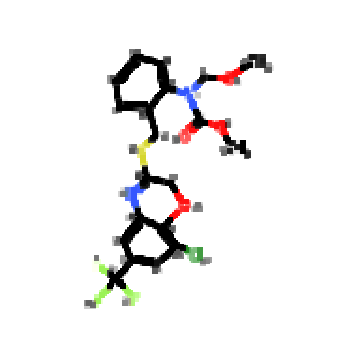 COCN(C(=O)OC)c1ccccc1CSC1=Nc2cc(C(F)(F)F)cc(Cl)c2OC1